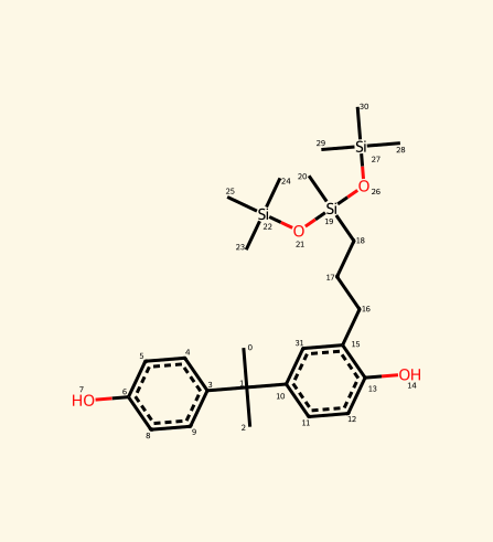 CC(C)(c1ccc(O)cc1)c1ccc(O)c(CCC[Si](C)(O[Si](C)(C)C)O[Si](C)(C)C)c1